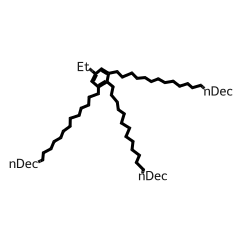 CCCCCCCCCCCCCCCCCCCCCCCc1cc(CC)cc(CCCCCCCCCCCCCCCCCCCCCCC)c1CCCCCCCCCCCCCCCCCCCCCCC